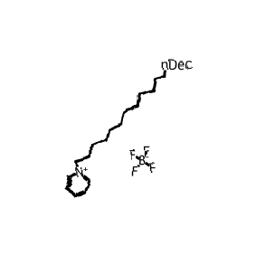 CCCCCCCCCCCCCCCCCCCCCC[n+]1ccccc1.F[B-](F)(F)F